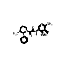 C[C@@H]1CCCN(C(=O)C(=O)Nc2cnc(N)c3cn[nH]c23)[C@H]1c1ccccc1